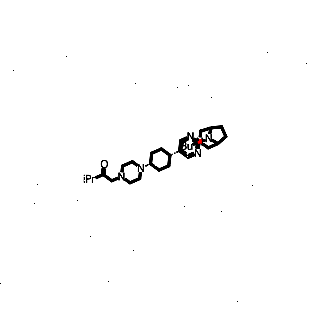 CCC(C)N1CC2CCC(C1)N2c1ncc([C@H]2CC[C@@H](N3CCN(CC(=O)C(C)C)CC3)CC2)cn1